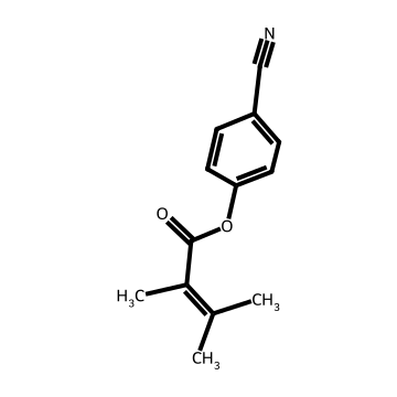 CC(C)=C(C)C(=O)Oc1ccc(C#N)cc1